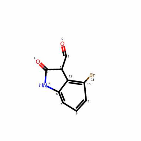 O=CC1C(=O)Nc2cccc(Br)c21